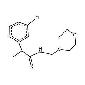 CC(C(=S)NCN1CCOCC1)c1cc(Cl)ccn1